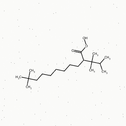 CC(C)C(C)(C)C(CCCCCCCC(C)(C)C)C(=O)OO